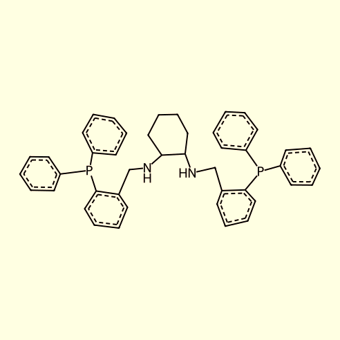 c1ccc(P(c2ccccc2)c2ccccc2CNC2CCCCC2NCc2ccccc2P(c2ccccc2)c2ccccc2)cc1